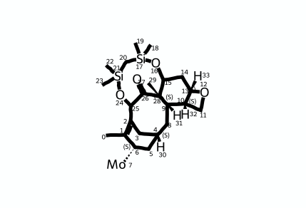 CC1=C2C[C@@H](C[C@@H]1[Mo])C[C@H]1[C@H]3CO[C@H]3CC3O[Si](C)(C)C[Si](C)(C)OC2C(=O)[C@]31C